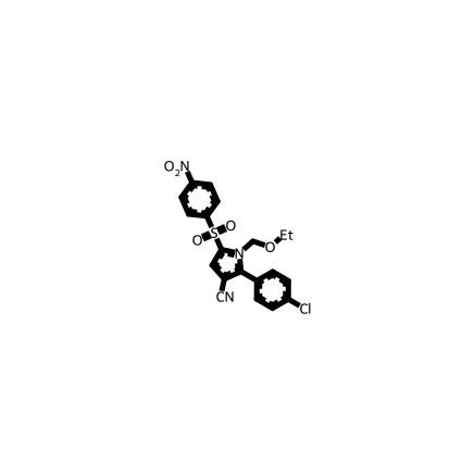 CCOCn1c(S(=O)(=O)c2ccc([N+](=O)[O-])cc2)cc(C#N)c1-c1ccc(Cl)cc1